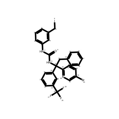 O=C(Nc1cccc(CI)c1)NC(Cc1ccccc1)(c1cccc(C(F)(F)F)c1)c1ccc(Br)cn1